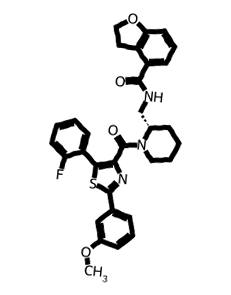 COc1cccc(-c2nc(C(=O)N3CCCC[C@H]3CNC(=O)c3cccc4c3CCO4)c(-c3ccccc3F)s2)c1